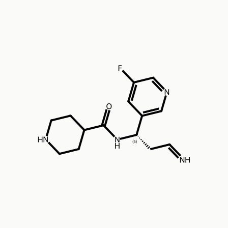 N=CC[C@H](NC(=O)C1CCNCC1)c1cncc(F)c1